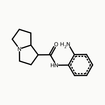 Nc1ccccc1NC(=O)C1CCN2CCCC12